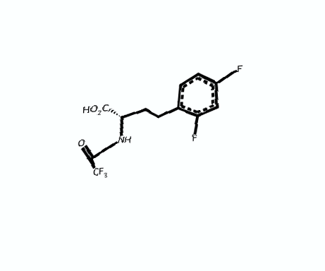 O=C(O)[C@H](CCc1ccc(F)cc1F)NC(=O)C(F)(F)F